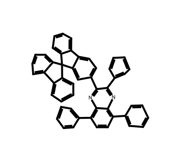 c1ccc(-c2nc3c(-c4ccccc4)ccc(-c4ccccc4)c3nc2-c2ccc3c(c2)C2(c4ccccc4-c4ccccc42)c2ccccc2-3)cc1